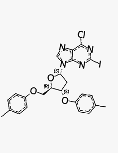 Cc1ccc(OC[C@H]2O[C@H](n3cnc4c(Cl)nc(I)nc43)C[C@@H]2Oc2ccc(C)cc2)cc1